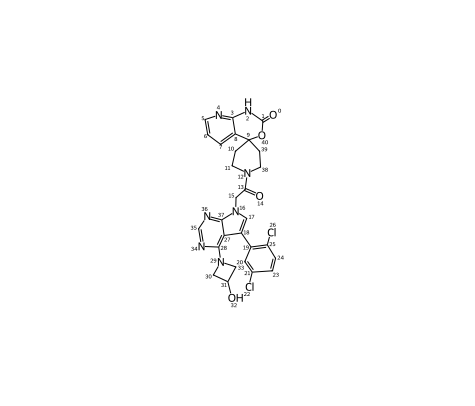 O=C1Nc2ncccc2C2(CCN(C(=O)Cn3cc(-c4cc(Cl)ccc4Cl)c4c(N5CC(O)C5)ncnc43)CC2)O1